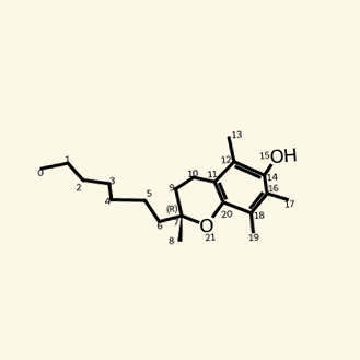 CCCCCCC[C@]1(C)CCc2c(C)c(O)c(C)c(C)c2O1